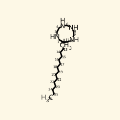 C1CNCCNCNCCNC1.CCCCCCCCCCCCCCC